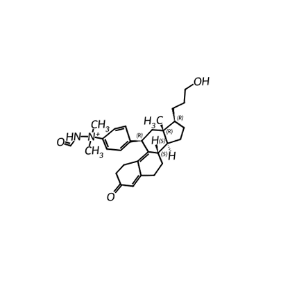 C[C@]12C[C@H](c3ccc([N+](C)(C)NC=O)cc3)C3=C4CCC(=O)C=C4CC[C@H]3[C@@H]1CC[C@@H]2CCCO